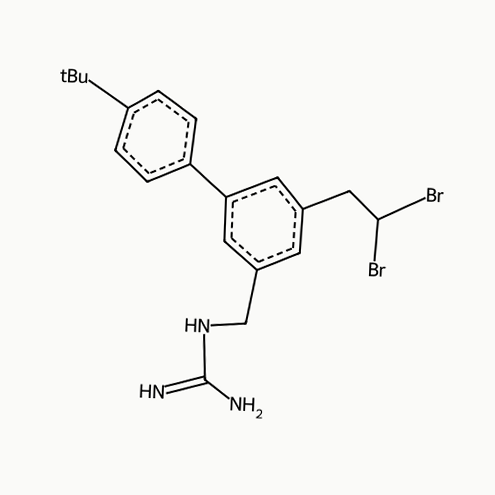 CC(C)(C)c1ccc(-c2cc(CNC(=N)N)cc(CC(Br)Br)c2)cc1